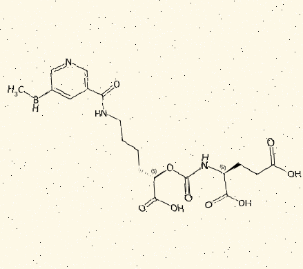 CBc1cncc(C(=O)NCCCC[C@H](OC(=O)N[C@@H](CCC(=O)O)C(=O)O)C(=O)O)c1